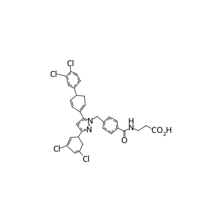 O=C(O)CCNC(=O)c1ccc(Cn2nc(C3C=C(Cl)C=C(Cl)C3)cc2C2=CCC(c3ccc(Cl)c(Cl)c3)C=C2)cc1